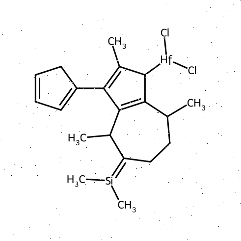 CC1=C(C2=CC=CC2)C2=C(C(C)CCC(=[Si](C)C)C2C)[CH]1[Hf]([Cl])[Cl]